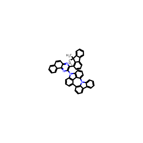 CC1(C)c2ccccc2-c2cccc(-c3nc4ccc5ccccc5c4nc3-n3c4cccc5c6cccc7c8ccccc8n(c8cccc3c8c54)c67)c21